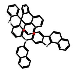 c1ccc2c(c1)Oc1ccc(N(c3ccc4ccccc4c3)c3ccc4c(c3)oc3c5ccccc5ccc43)cc1C21c2ccccc2-c2cccc3cccc1c23